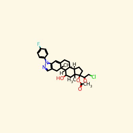 CC(=O)OC1(C(=O)CCl)CC[C@H]2C3CCC4=Cc5c(cnn5-c5ccc(F)cc5)CC4(C)[C@H]3C(O)CC21C